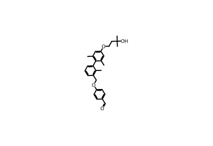 Cc1cc(OCCC(C)(C)O)cc(C)c1-c1cccc(COc2ccc(C=O)cc2)c1C